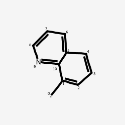 [CH]c1cccc2cccnc12